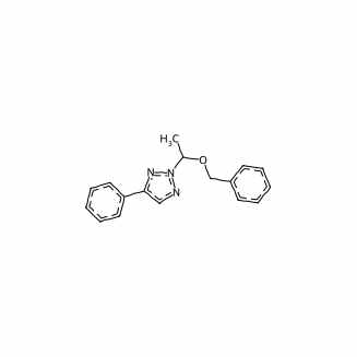 CC(OCc1ccccc1)n1ncc(-c2ccccc2)n1